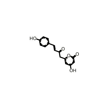 O=C(/C=C/c1ccc(O)cc1)Cc1cc(O)cc(=O)o1